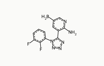 Bc1cnc(N)c(-c2nnnn2-c2cccc(F)c2F)c1